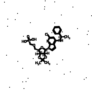 C[C@@H](Nc1cc(Cl)nc2c1ccn2[C@@H]1O[C@H](COCP(=O)(O)O)[C@H]2OC(C)(C)O[C@H]21)c1ccccc1